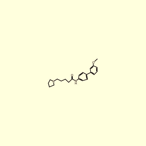 COc1cccc(-c2ccc(NC(=O)CCCCN3CCCC3)cc2)c1